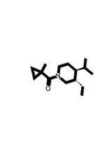 CC[C@@H]1CN(C(=O)C2(C)CC2)CC[C@H]1C(C)C